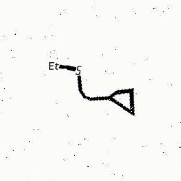 CCSCC1CC1